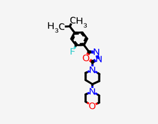 CC(C)c1ccc(-c2nnc(N3CCC(N4CCOCC4)CC3)o2)c(F)c1